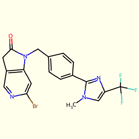 Cn1cc(C(F)(F)F)nc1-c1ccc(CN2C(=O)Cc3cnc(Br)cc32)cc1